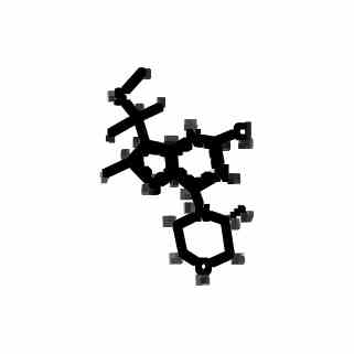 CSC(C)(C)c1c(C)sc2c(N3CCOC[C@H]3C)nc(Cl)nc12